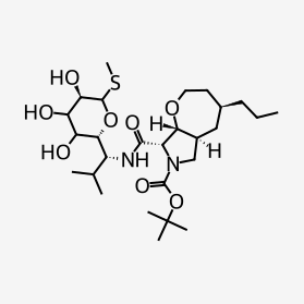 CCC[C@@H]1CCO[C@@H]2[C@@H](C1)CN(C(=O)OC(C)(C)C)[C@@H]2C(=O)N[C@H](C(C)C)[C@H]1OC(SC)[C@H](O)C(O)C1O